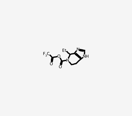 CCC1c2nc[nH]c2CCN1C(=O)OC(=O)C(F)(F)F